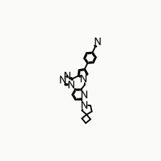 N#Cc1ccc(-c2cc3n(c2)Cc2nc(N4CCC5(CCC5)C4)ccc2-n2cnnc2-3)cc1